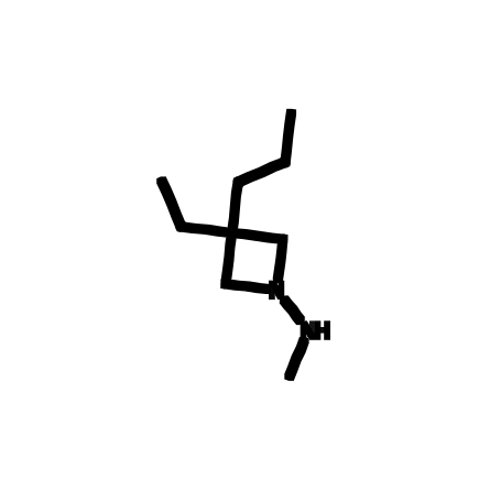 CCCC1(CC)CN(NC)C1